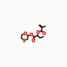 C=C(C)C(=O)OC(CC)C(=O)OC1CSCCO1